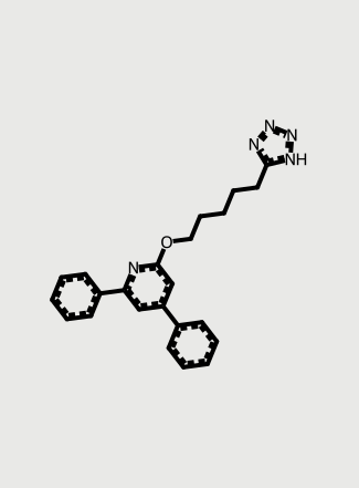 c1ccc(-c2cc(OCCCCCc3nnn[nH]3)nc(-c3ccccc3)c2)cc1